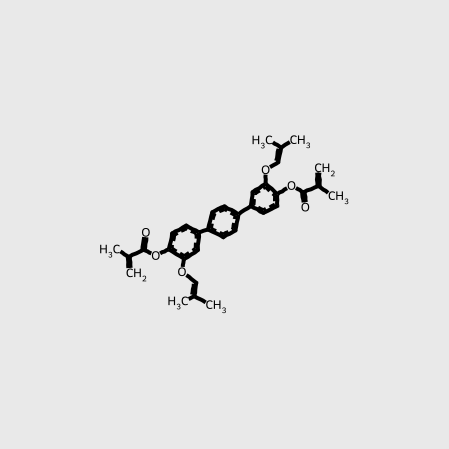 C=C(C)C(=O)Oc1ccc(-c2ccc(-c3ccc(OC(=O)C(=C)C)c(OC=C(C)C)c3)cc2)cc1OC=C(C)C